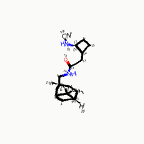 CC1(C)C2C[C@H]1CC[C@H]2CNC(=O)CC1CC[C@@H]1NC#N